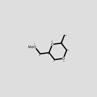 [CH2]C1COCC(COC)O1